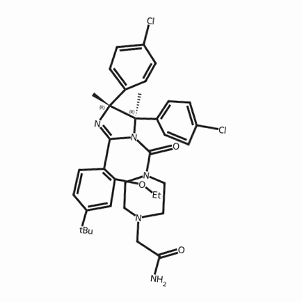 CCOc1cc(C(C)(C)C)ccc1C1=N[C@](C)(c2ccc(Cl)cc2)[C@@](C)(c2ccc(Cl)cc2)N1C(=O)N1CCN(CC(N)=O)CC1